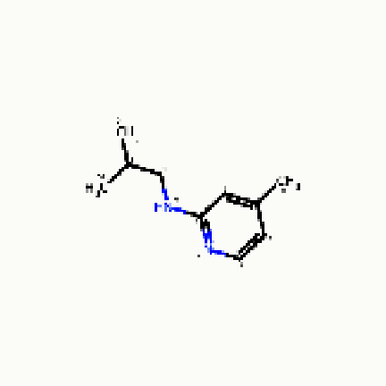 Cc1ccnc(NCC(C)C)c1